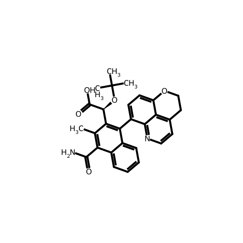 Cc1c([C@H](OC(C)(C)C)C(=O)O)c(-c2ccc3c4c(ccnc24)CCO3)c2ccccc2c1C(N)=O